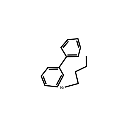 CCCCBr.c1ccc(-c2ccccc2)cc1